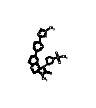 Cn1cnc(-c2ccc(-c3ccc4ncc5c(c4c3)n([C@H]3CCN(S(C)(=O)=O)C3)c(=O)n5C)cn2)n1